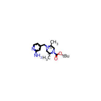 C[C@@H]1CN(Cc2ccnc(N)c2)[C@@H](C)CN1C(=O)OC(C)(C)C